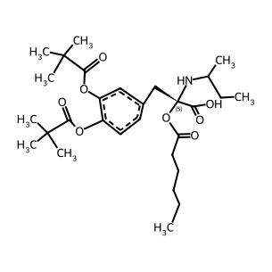 CCCCCC(=O)O[C@](Cc1ccc(OC(=O)C(C)(C)C)c(OC(=O)C(C)(C)C)c1)(NC(C)CC)C(=O)O